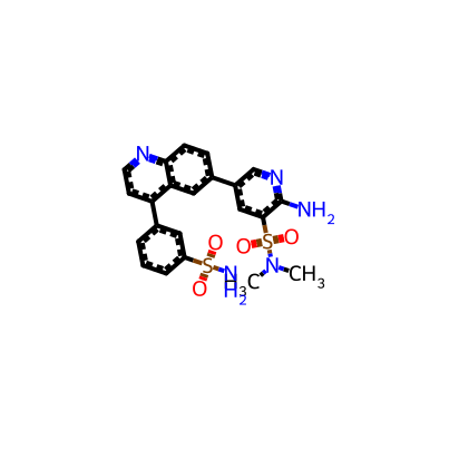 CN(C)S(=O)(=O)c1cc(-c2ccc3nccc(-c4cccc(S(N)(=O)=O)c4)c3c2)cnc1N